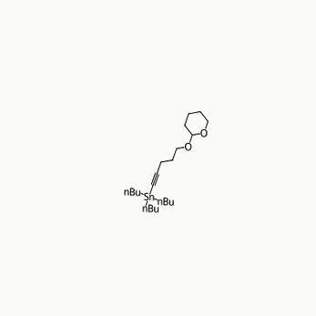 CCC[CH2][Sn]([C]#CCCCOC1CCCCO1)([CH2]CCC)[CH2]CCC